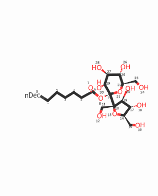 CCCCCCCCCCCCCCCC(=O)O[C@@]1([C@@]2(CO)O[C@H](CO)[C@@H](O)[C@@H]2O)O[C@H](CO)[C@@H](O)[C@H](O)[C@H]1O